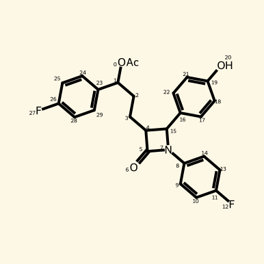 CC(=O)OC(CCC1C(=O)N(c2ccc(F)cc2)C1c1ccc(O)cc1)c1ccc(F)cc1